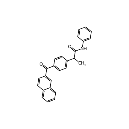 CC(C(=O)Nc1ccccc1)c1ccc(C(=O)c2ccc3ccccc3c2)cc1